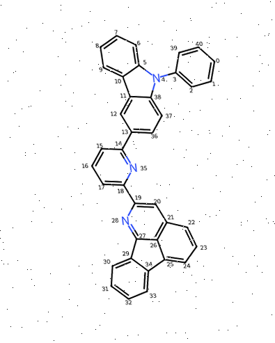 c1ccc(-n2c3ccccc3c3cc(-c4cccc(-c5cc6cccc7c6c(n5)-c5ccccc5-7)n4)ccc32)cc1